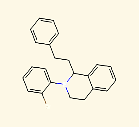 Brc1ccccc1N1CCc2ccccc2C1CCc1ccccc1